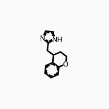 c1ccc2c(c1)OCCC2Cc1ncc[nH]1